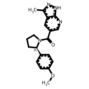 COc1ccc([C@H]2CCCN2C(=O)c2cnc3[nH]nc(C)c3c2)cc1